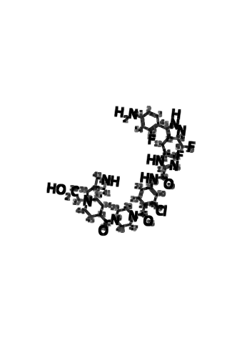 Nc1ccc(-c2[nH]nc(C(F)F)c2Cc2cnc(C(=O)Nc3ccc(C(=O)N4CCN(C(=O)C5CC[N+](CC(=O)O)(CC6CNC6)CC5)CC4)c(Cl)c3)[nH]2)c(F)c1